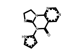 O=C1c2cncnc2N2CCN=C2N1c1ccc[nH]1